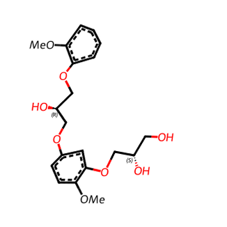 COc1ccccc1OC[C@H](O)COc1ccc(OC)c(OC[C@@H](O)CO)c1